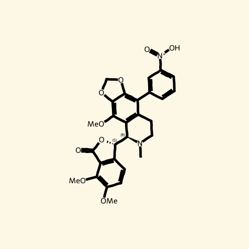 COc1ccc2c(c1OC)C(=O)O[C@@H]2[C@H]1c2c(c(-c3cccc([N+](=O)O)c3)c3c(c2OC)OCO3)CCN1C